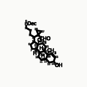 CCCCCCCCCCCCCC(C1CC[C@H]2[C@@H]3CC=C4CC(O)C=C[C@]4(C)[C@H]3CC[C@]12C)C1(C=O)CC1